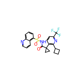 O=C(NS(=O)(=O)c1cccc2ncccc12)C1(c2ccc(C(F)(F)F)nc2C2CCC2)CC1